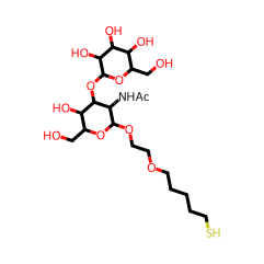 CC(=O)NC1C(OCCOCCCCCS)OC(CO)C(O)C1OC1OC(CO)C(O)C(O)C1O